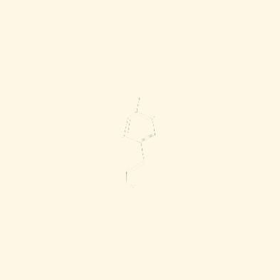 COC=Cc1ccc(O)cc1